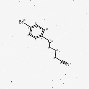 N#CCCCOc1ccc(Br)cc1